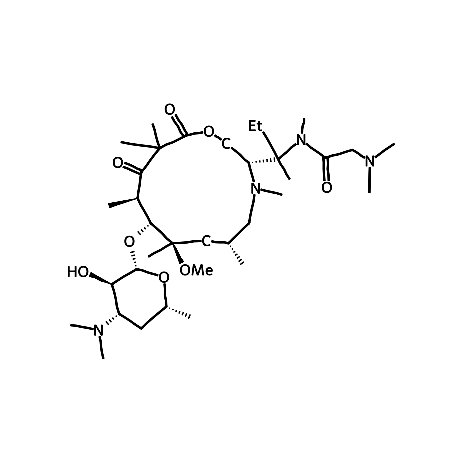 CCC(C)([C@H]1COC(=O)C(C)(C)C(=O)[C@H](C)[C@@H](O[C@@H]2O[C@H](C)C[C@H](N(C)C)[C@H]2O)[C@](C)(OC)C[C@@H](C)CN1C)N(C)C(=O)CN(C)C